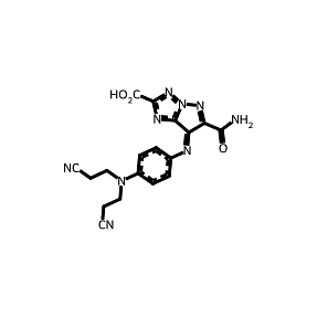 N#CCCN(CCC#N)c1ccc(N=C2C(C(N)=O)=Nn3nc(C(=O)O)nc32)cc1